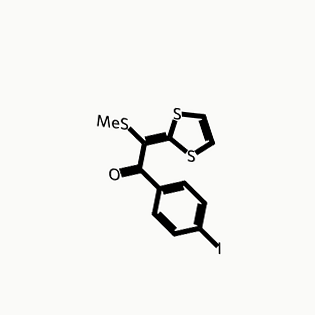 CSC(C(=O)c1ccc(I)cc1)=C1SC=CS1